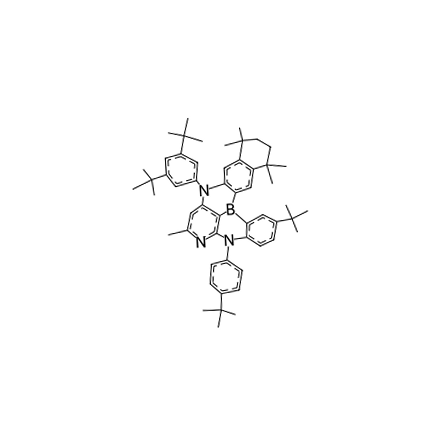 Cc1cc2c3c(n1)N(c1ccc(C(C)(C)C)cc1)c1ccc(C(C)(C)C)cc1B3c1cc3c(cc1N2c1cc(C(C)(C)C)cc(C(C)(C)C)c1)C(C)(C)CCC3(C)C